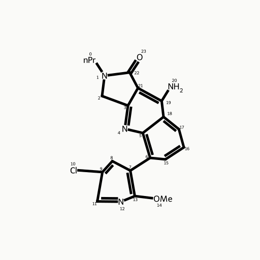 CCCN1Cc2nc3c(-c4cc(Cl)cnc4OC)cccc3c(N)c2C1=O